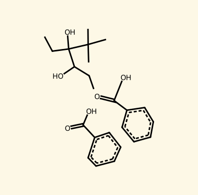 CCC(O)C(O)(CC)C(C)(C)C.O=C(O)c1ccccc1.O=C(O)c1ccccc1